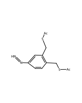 CC(=O)SCc1ccc(N=N)cc1CSC(C)=O